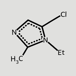 CCn1c(Cl)cnc1C